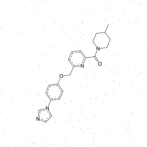 CC1CCN(C(=O)c2cccc(COc3ccc(-n4ccnc4)cc3)n2)CC1